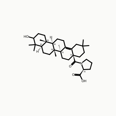 CC1(C)CC[C@]2(C(=O)N3CCC[C@H]3C(=O)O)CC[C@]3(C)C(=C2C1)CC[C@@H]1[C@@]2(C)CCC(O)C(C)(C)[C@@H]2CC[C@]13C